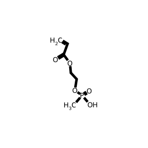 C=CC(=O)OCCOP(C)(=O)O